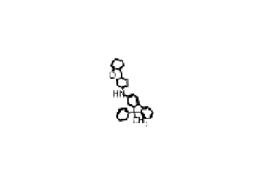 CC1(c2ccccc2)c2ccccc2-c2ccc(Nc3ccc4c(c3)oc3ccccc34)cc21